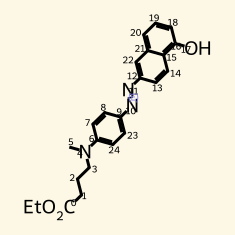 CCOC(=O)CCCN(C)c1ccc(/N=N/c2ccc3c(O)cccc3c2)cc1